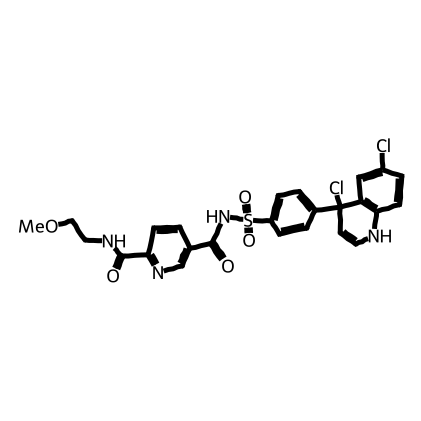 COCCNC(=O)c1ccc(C(=O)NS(=O)(=O)c2ccc(C3(Cl)C=CNc4ccc(Cl)cc43)cc2)cn1